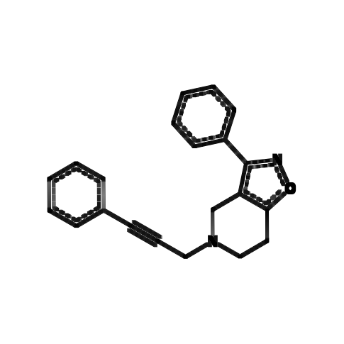 C(#Cc1ccccc1)CN1CCc2onc(-c3ccccc3)c2C1